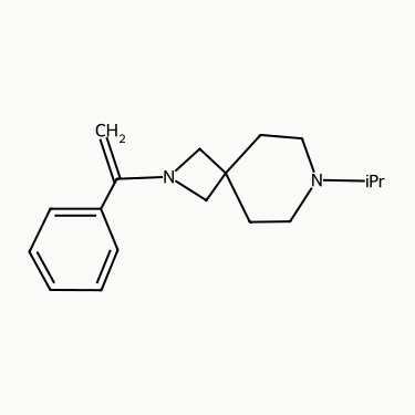 C=C(c1ccccc1)N1CC2(CCN(C(C)C)CC2)C1